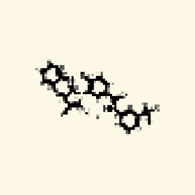 Cc1c(N)n(-c2cc(C(=O)Nc3cccc(C(F)(F)F)c3)ccc2F)c2nc3ccccc3nc12